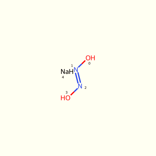 ON=NO.[NaH]